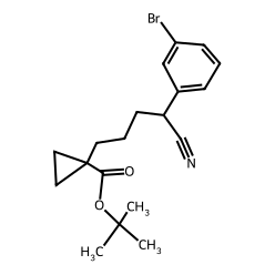 CC(C)(C)OC(=O)C1(CCCC(C#N)c2cccc(Br)c2)CC1